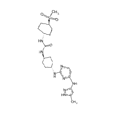 Cc1cc(Nc2ccnc(N[C@H]3CC[C@H](NC(=O)N[C@H]4CC[C@H](S(C)(=O)=O)CC4)CC3)n2)n[nH]1